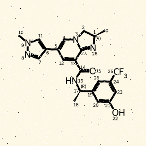 C[C@@H]1CN2C=C(c3cnn(C)c3)C=C(C(=O)N[C@H](C)c3cc(O)cc(C(F)(F)F)c3)C2=N1